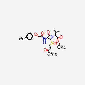 COC(=O)CC[S+]([O-])C1C(NC(=O)COc2ccc(C(C)C)cc2)C(=O)N1C(C(=O)OCOC(C)=O)=C(C)C